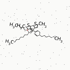 CCCCCCCCC(CCCCCC)C[Si]1(C2=CCC(CCCCCCC)C=C2)c2cc(C)sc2-c2sc(C)cc21